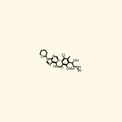 COc1c([C@H](C)Nc2ncnc3c2ncn3C2CCCCO2)cc(Cl)c(C)c1C(O)CNC(C)C